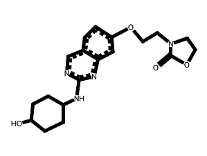 O=C1OCCN1CCOc1ccc2cnc(NC3CCC(O)CC3)nc2c1